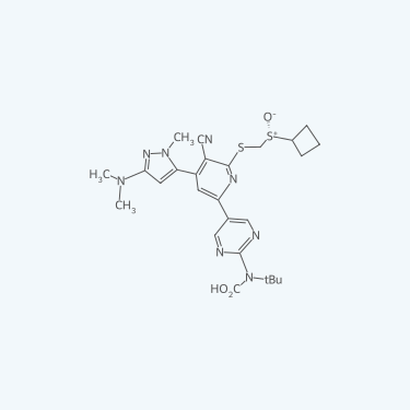 CN(C)c1cc(-c2cc(-c3cnc(N(C(=O)O)C(C)(C)C)nc3)nc(SC[S@+]([O-])C3CCC3)c2C#N)n(C)n1